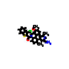 COc1ccc(-c2ccc(N)nc2C)cc1CN(C(=O)c1sc2ccccc2c1Cl)[C@H]1CC[C@H](C)CC1